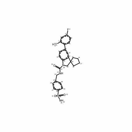 Cc1cc(F)ccc1-c1ccc2c(c1)C1(CCCC1)CN2C(=O)NCc1ccc(S(N)(=O)=O)cc1